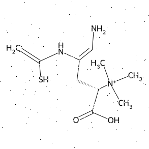 C=C(S)N/C(=C\N)C[C@@H](C(=O)O)[N+](C)(C)C